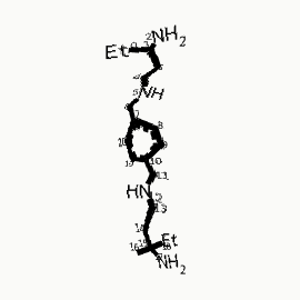 CC/C(N)=C\CNCc1ccc(CNCCC(C)(N)CC)cc1